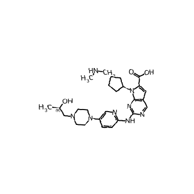 CNC.C[C@@H](O)CN1CCN(c2ccc(Nc3ncc4cc(C(=O)O)n(C5CCCC5)c4n3)nc2)CC1